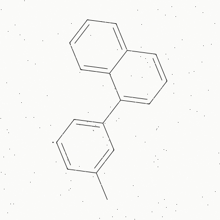 Cc1c[c]cc(-c2cccc3ccccc23)c1